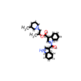 CC1CCCN(CC(C)OC(=O)c2cn(C(=O)c3c[nH]c4ccccc34)c3ccccc23)C1